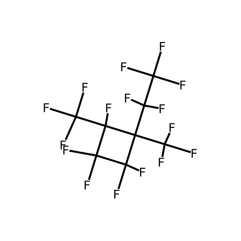 FC(F)(F)C(F)(F)C1(C(F)(F)F)C(F)(F)C(F)(F)C1(F)C(F)(F)F